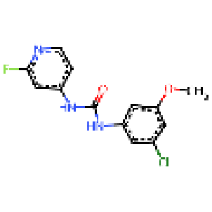 COc1cc(Cl)cc(NC(=O)Nc2ccnc(F)c2)c1